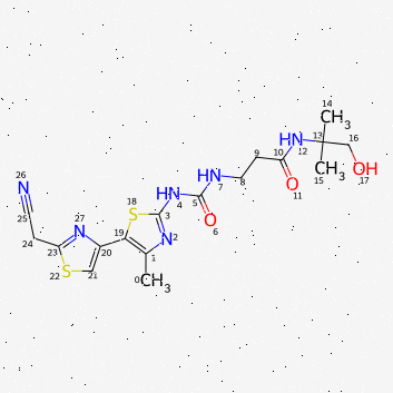 Cc1nc(NC(=O)NCCC(=O)NC(C)(C)CO)sc1-c1csc(CC#N)n1